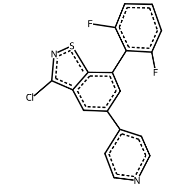 Fc1cccc(F)c1-c1cc(-c2ccncc2)cc2c(Cl)nsc12